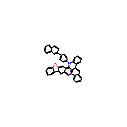 c1ccc(N(c2ccc(-c3ccc4ccccc4c3)cc2)c2cncc3cc4c(cc23)oc2ccccc24)c(-c2ccc3ccccc3c2)c1